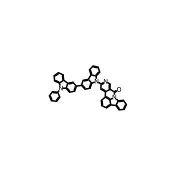 O=c1c2cnc(-n3c4ccccc4c4cc(-c5ccc6c(c5)c5ccccc5n6-c5ccccc5)ccc43)cc2c2cccc3c4ccccc4n1c23